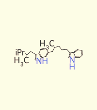 CC(CCCc1c[nH]c2ccccc12)Cc1ccc2c(CC(C)C(C)C)c[nH]c2c1